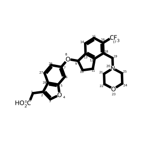 O=C(O)Cc1coc2cc(OC3CCc4c3ccc(C(F)(F)F)c4CN3CCOCC3)ccc12